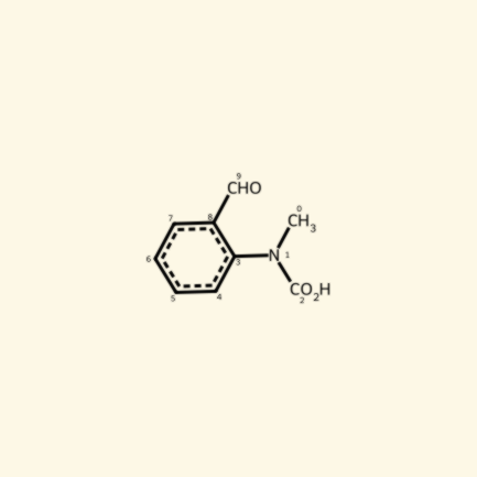 CN(C(=O)O)c1ccccc1C=O